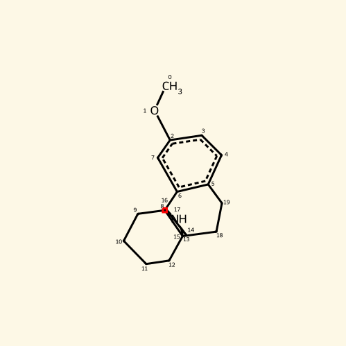 COc1ccc2c(c1)C13CCCCC1(CCCN3)CC2